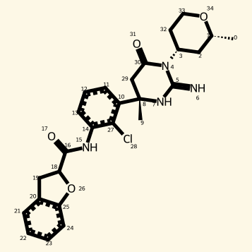 C[C@@H]1C[C@H](N2C(=N)N[C@](C)(c3cccc(NC(=O)C4Cc5ccccc5O4)c3Cl)CC2=O)CCO1